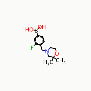 CC1(C)CN(Cc2ccc(B(O)O)cc2F)CCO1